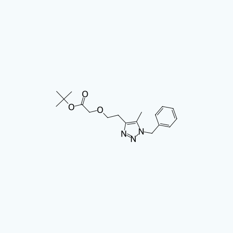 Cc1c(CCOCC(=O)OC(C)(C)C)nnn1Cc1ccccc1